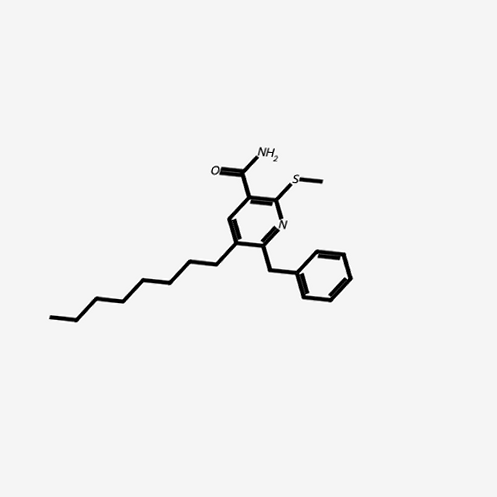 CCCCCCCCc1cc(C(N)=O)c(SC)nc1Cc1ccccc1